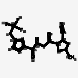 CC1CC(C#N)N(C(=O)CNC(=O)c2cnn(CC(F)(F)F)c2)C1